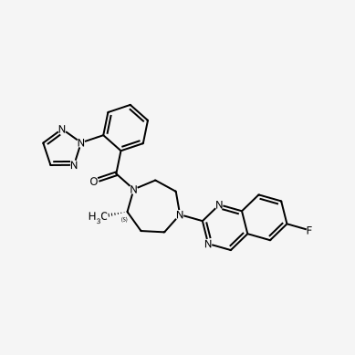 C[C@H]1CCN(c2ncc3cc(F)ccc3n2)CCN1C(=O)c1ccccc1-n1nccn1